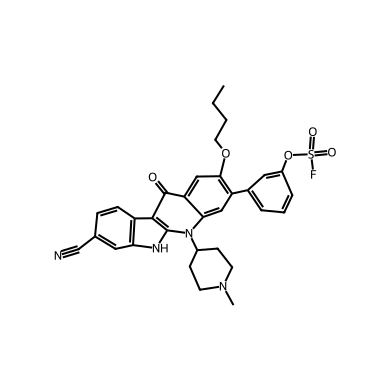 CCCCOc1cc2c(=O)c3c4ccc(C#N)cc4[nH]c3n(C3CCN(C)CC3)c2cc1-c1cccc(OS(=O)(=O)F)c1